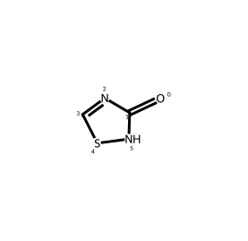 O=c1n[c]s[nH]1